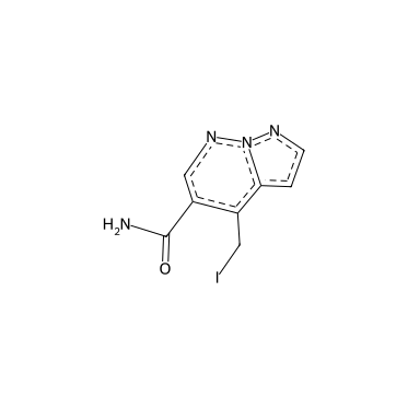 NC(=O)c1cnn2nccc2c1CI